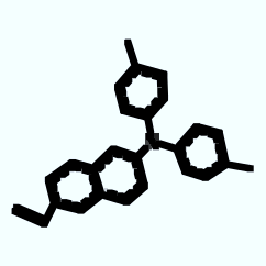 C=Cc1ccc2cc(N(c3ccc(C)cc3)c3ccc(C)cc3)ccc2c1